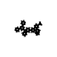 c1ccc(-c2cc(-c3ccccc3)cc(-n3c4ccccc4c4cc(-c5ccc6c(c5)-c5ccc(C7CC7)cc5C65C6CC7CC(C6)CC5C7)ccc43)c2)cc1